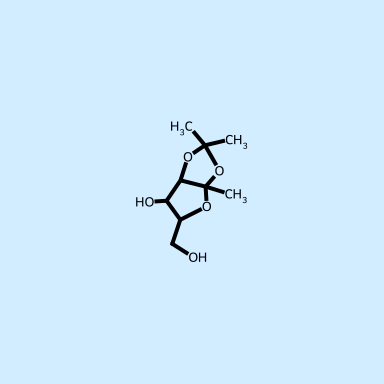 CC1(C)OC2C(O)C(CO)OC2(C)O1